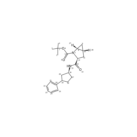 CC(C)(C)OC(=O)N1[C@@H]2C[C@@H]2C[C@H]1C(=O)N[C@H]1CCC(c2ccccc2)C1